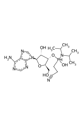 CC(C)N(C(C)C)[PH](O)(CCC#N)O[C@H]1[C@@H](O)[C@H](n2cnc3c(N)ncnc32)O[C@@H]1CO